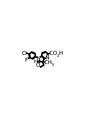 C[C@@]12CCO[C@@H]1N(c1ccc(Cl)c(F)c1)c1ccc(C(=O)O)nc12